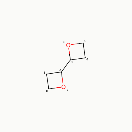 C1CC(C2CCO2)O1